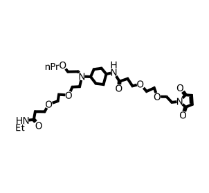 CCCOCCN(CCOCCOCCC(=O)NCC)C1CCC(NC(=O)CCOCCOCCN2C(=O)C=CC2=O)CC1